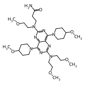 COCCN(CCOC)c1nc(N2CCC(OC)CC2)c2nc(N(CCOC)CCC(N)=O)nc(N3CCC(OC)CC3)c2n1